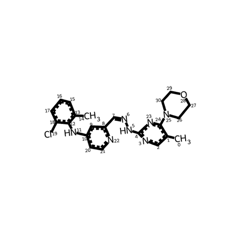 Cc1cnc(N/N=C\c2cc(Nc3c(C)cccc3Cl)ccn2)nc1N1CCOCC1